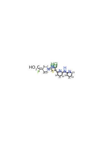 Cl.Cl.O=C(O)C(F)C1CCN(c2ncc(-c3cccc(Nc4ccccn4)n3)s2)CC1